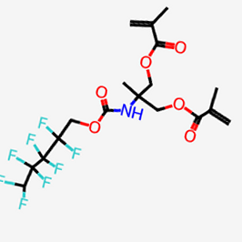 C=C(C)C(=O)OCC(C)(COC(=O)C(=C)C)NC(=O)OCC(F)(F)C(F)(F)C(F)(F)C(F)F